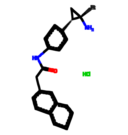 CC[C@]1(N)C[C@H]1c1ccc(NC(=O)Cc2ccc3ccccc3c2)cc1.Cl